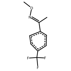 CON=C(C)c1ccc(C(F)(F)F)cc1